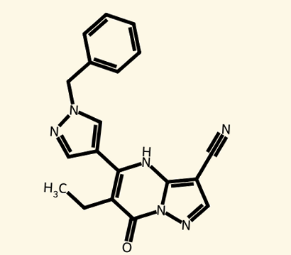 CCc1c(-c2cnn(Cc3ccccc3)c2)[nH]c2c(C#N)cnn2c1=O